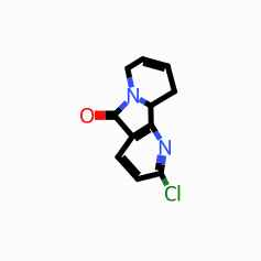 O=C1c2ccc(Cl)nc2C2CC=CCN12